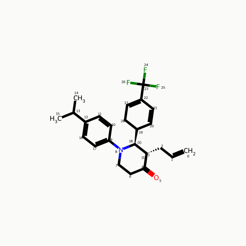 C=CC[C@@H]1C(=O)CCN(c2ccc(C(C)C)cc2)[C@H]1C1C=CC(C(F)(F)F)=CC1